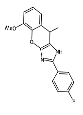 COc1cccc2c1Oc1nc(-c3ccc(F)cc3)[nH]c1C2I